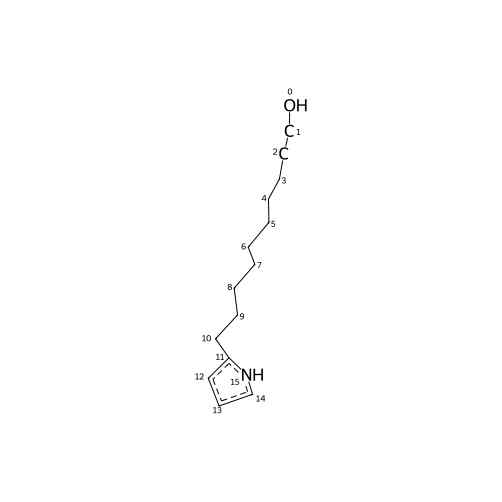 OCCCCCCCCCCc1ccc[nH]1